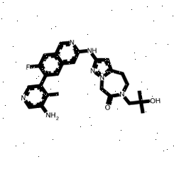 Cc1c(N)cncc1-c1cc2cc(Nc3cc4n(n3)CC(=O)N(CC(C)(C)O)CC4)ncc2cc1F